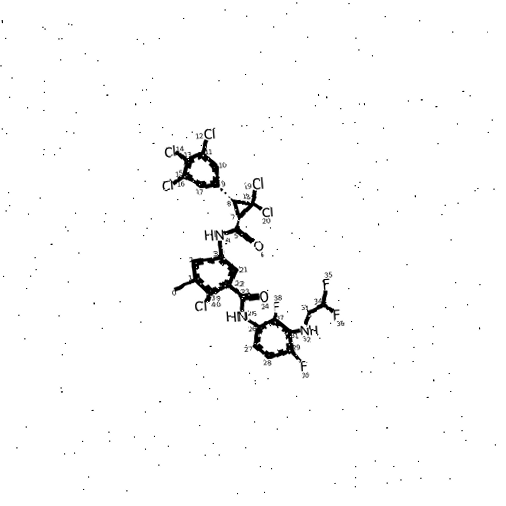 Cc1cc(NC(=O)[C@H]2[C@H](c3cc(Cl)c(Cl)c(Cl)c3)C2(Cl)Cl)cc(C(=O)Nc2ccc(F)c(NCC(F)F)c2F)c1Cl